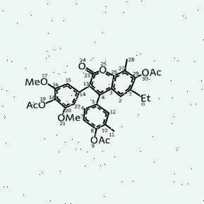 CCc1cc2c(-c3ccc(OC(C)=O)c(C)c3)c(-c3cc(OC)c(OC(C)=O)c(OC)c3)c(=O)oc2c(C)c1OC(C)=O